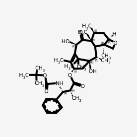 CC1=C2[C@@H](O)C(=O)[C@@]3(C)C([C@H](C)[C@](O)(C[C@@H]1OC(=O)[C@H](C)[C@@H](NC(=O)OC(C)(C)C)c1ccccc1)C2(C)C)[C@]1(C)CO[C@@H]1C[C@@H]3C